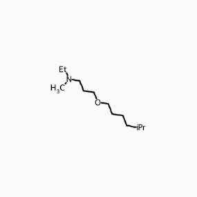 CCN(C)CCCOCCCCC(C)C